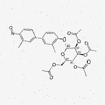 CC(=O)OC[C@H]1O[C@H](Oc2ccc(-c3ccc(N=O)c(C)c3)cc2C)[C@@H](OC(C)=O)[C@@H](OC(C)=O)[C@@H]1OC(C)=O